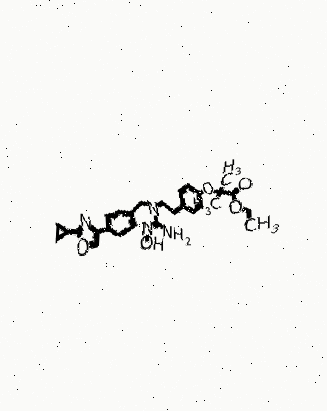 CCOC(=O)C(C)(C)Oc1ccc(CCN(Cc2ccc(-c3coc(C4CC4)n3)cc2)/C(N)=N/O)cc1